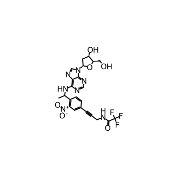 CC(Nc1ncnc2c1ncn2[C@H]1C[C@@H](O)[C@@H](CO)O1)c1ccc(C#CCNC(=O)C(F)(F)F)cc1[N+](=O)[O-]